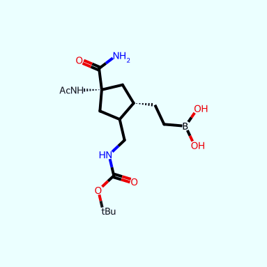 CC(=O)N[C@@]1(C(N)=O)CC(CNC(=O)OC(C)(C)C)[C@@H](CCB(O)O)C1